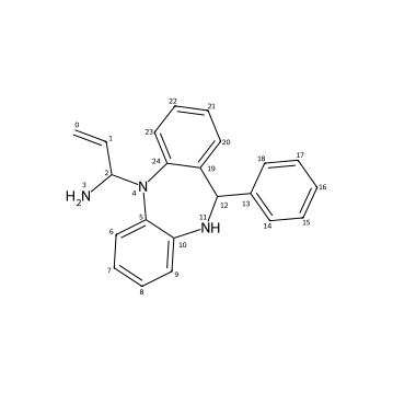 C=CC(N)N1c2ccccc2NC(c2ccccc2)c2ccccc21